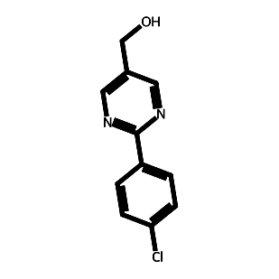 OCc1cnc(-c2ccc(Cl)cc2)nc1